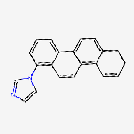 C1=Cc2c(ccc3c2ccc2c(-n4ccnc4)cccc23)CC1